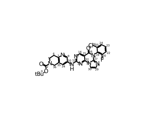 CC(C)(C)OC(=O)N1CCc2ncc(Nc3ncc4c(=O)n(-c5c(F)cccc5Cl)c5nccn5c4n3)cc2C1